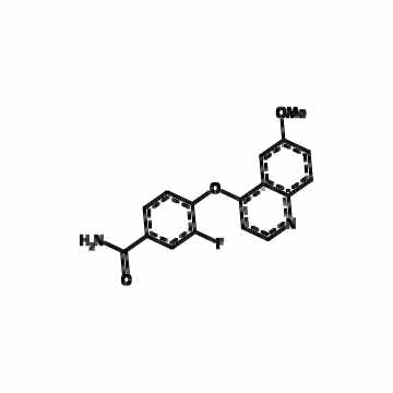 COc1ccc2nccc(Oc3ccc(C(N)=O)cc3F)c2c1